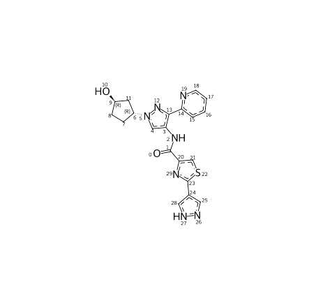 O=C(Nc1cn([C@@H]2CC[C@@H](O)C2)nc1-c1ccccn1)c1csc(-c2cn[nH]c2)n1